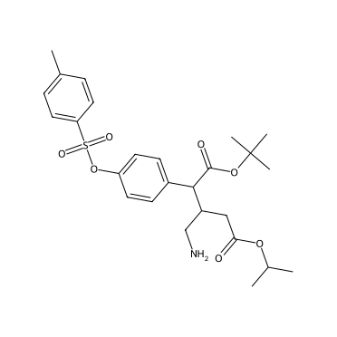 Cc1ccc(S(=O)(=O)Oc2ccc(C(C(=O)OC(C)(C)C)C(CN)CC(=O)OC(C)C)cc2)cc1